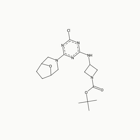 CC(C)(C)OC(=O)N1CC(Nc2nc(Cl)nc(N3CC4CCC(C3)O4)n2)C1